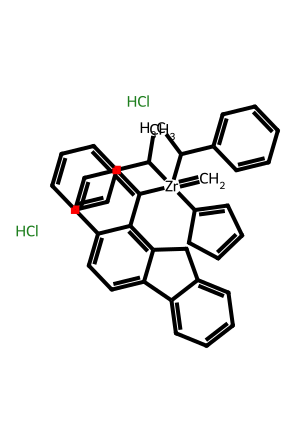 Cl.Cl.[CH2]=[Zr]([C]1=CC=CC1)([c]1cccc2ccc3c(c12)Cc1ccccc1-3)([CH](C)c1ccccc1)[CH](C)c1ccccc1